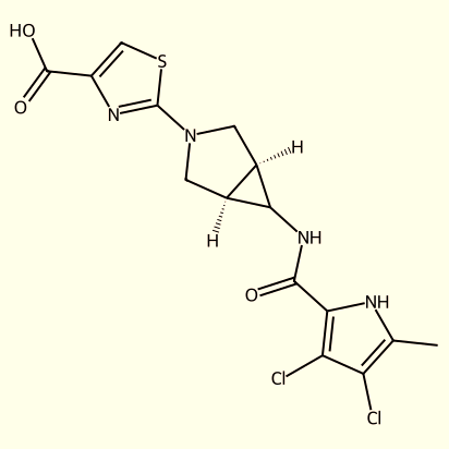 Cc1[nH]c(C(=O)NC2[C@H]3CN(c4nc(C(=O)O)cs4)C[C@@H]23)c(Cl)c1Cl